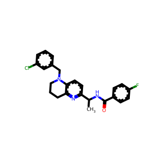 CC(NC(=O)c1ccc(F)cc1)c1ccc2c(n1)CCCN2Cc1cccc(Cl)c1